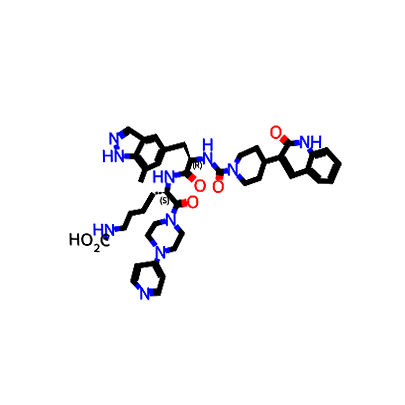 Cc1cc(C[C@@H](NC(=O)N2CCC(c3cc4ccccc4[nH]c3=O)CC2)C(=O)N[C@@H](CCCCNC(=O)O)C(=O)N2CCN(c3ccncc3)CC2)cc2cn[nH]c12